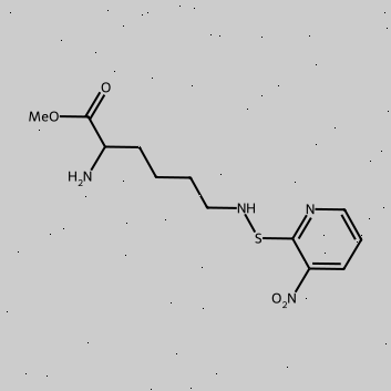 COC(=O)C(N)CCCCNSc1ncccc1[N+](=O)[O-]